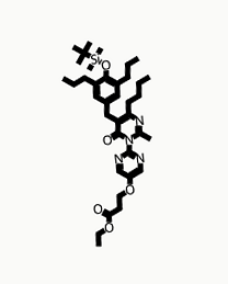 CCCCc1nc(C)n(-c2ncc(OCCC(=O)OCC)cn2)c(=O)c1Cc1cc(CCC)c(O[Si](C)(C)C(C)(C)C)c(CCC)c1